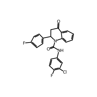 O=C1CC(c2ccc(F)cc2)N(C(=O)Nc2ccc(F)c(Cl)c2)c2ccccc21